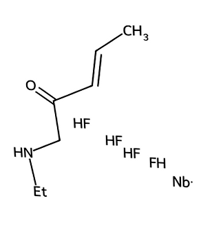 CC=CC(=O)CNCC.F.F.F.F.[Nb]